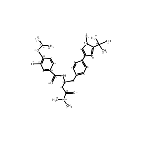 CCn1cc(-c2ccc(C[C@@H](CC(=O)N(C)C)NC(=O)c3ccc(O[C@H](C)C(F)(F)F)c(Cl)c3)cc2)nc1C(C)(C)O